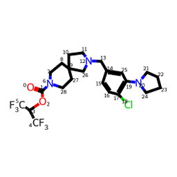 O=C(OC(C(F)(F)F)C(F)(F)F)N1CCC2(CCN(Cc3ccc(Cl)c(N4CCCC4)c3)C2)CC1